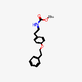 CC(C)(C)OC(=O)NCCc1ccc(OCCc2ccccc2)cc1